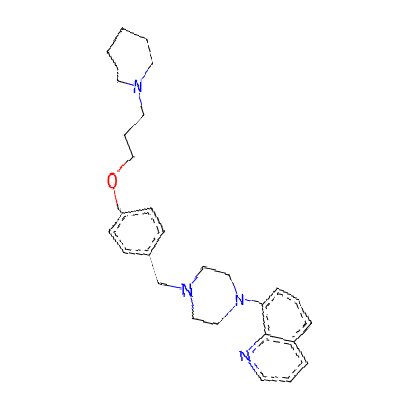 c1cnc2c(N3CCN(Cc4ccc(OCCCN5CCCCC5)cc4)CC3)cccc2c1